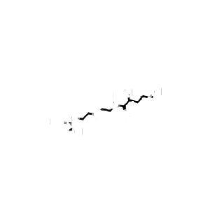 CSCCC(N)C(=O)NCCOCCON(O)O